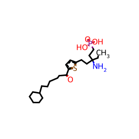 CCC(N)(CCc1ccc(C(=O)CCCCCC2CCCCC2)s1)CCP(=O)(O)O